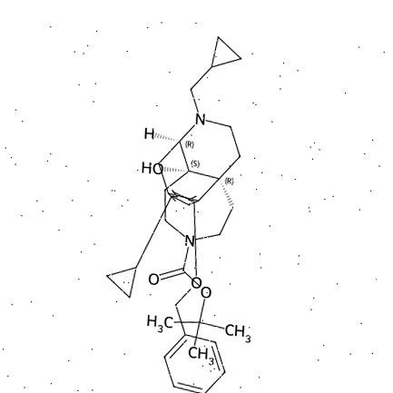 CC(C)(C)OC(=O)N1CC[C@]23CCN(CC4CC4)[C@H](Cc4cc(C5CC5)c(OCc5ccccc5)cc42)[C@]3(O)CC1